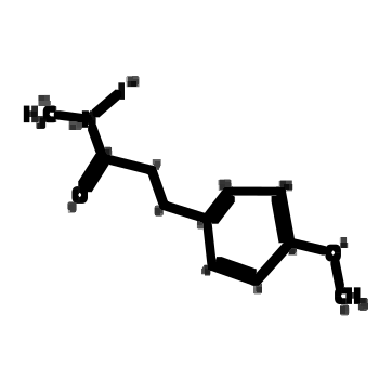 COc1ccc(CCC(=O)N(C)I)cc1